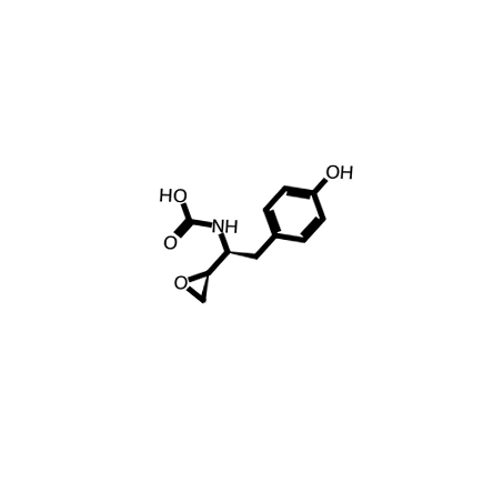 O=C(O)N[C@@H](Cc1ccc(O)cc1)[C@H]1CO1